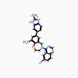 Cc1nc2ccc(-c3cc(C)c4c(c3)CN(c3ncnc5ccc(I)cc35)CCO4)cc2[nH]1